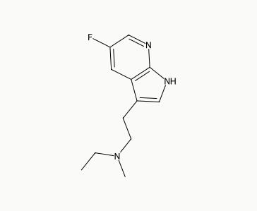 CCN(C)CCc1c[nH]c2ncc(F)cc12